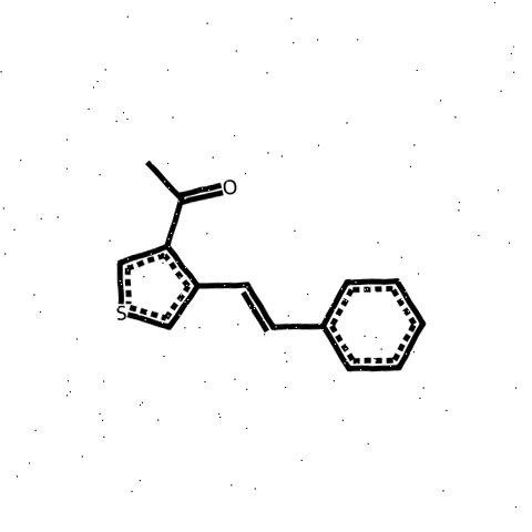 CC(=O)c1cscc1C=Cc1ccccc1